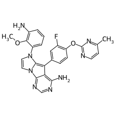 COc1c(N)cccc1-n1ccn2c3ncnc(N)c3c(-c3ccc(Oc4nccc(C)n4)c(F)c3)c12